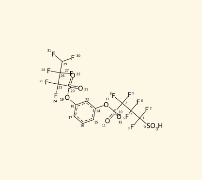 O=S(=O)(O)C(F)(F)C(F)(F)C(F)(F)S(=O)(=O)Oc1cccc(OS(=O)(=O)C(F)(F)C(F)(F)C(F)F)c1